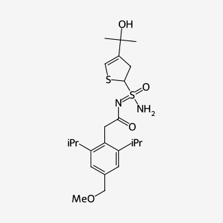 COCc1cc(C(C)C)c(CC(=O)N=S(N)(=O)C2CC(C(C)(C)O)=CS2)c(C(C)C)c1